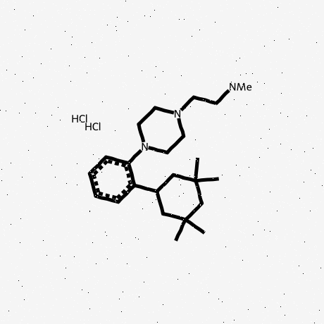 CNCCN1CCN(c2ccccc2C2CC(C)(C)CC(C)(C)C2)CC1.Cl.Cl